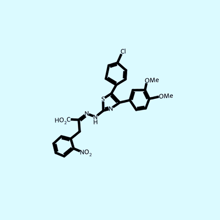 COc1ccc(-c2nc(NN=C(Cc3ccccc3[N+](=O)[O-])C(=O)O)sc2-c2ccc(Cl)cc2)cc1OC